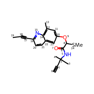 C#CC(C)(C)NC(=O)C(Oc1cc(C)c2nc(C#CC)ccc2c1)SC